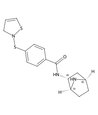 O=C(N[C@@H]1C[C@H]2CC[C@@H]1N2)c1ccc(SN2CC=CS2)cc1